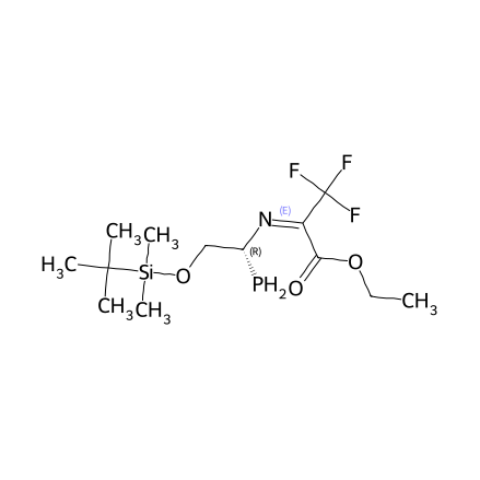 CCOC(=O)/C(=N\[C@H](P)CO[Si](C)(C)C(C)(C)C)C(F)(F)F